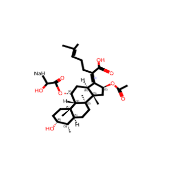 CC(=O)O[C@H]1C[C@@]2(C)[C@@H](C[C@@H](OC(=O)C(C)O)[C@H]3[C@@]4(C)CC[C@@H](O)[C@@H](C)[C@@H]4CC[C@@]32C)/C1=C(\CCC=C(C)C)C(=O)O.[NaH]